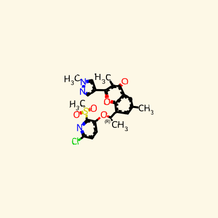 Cc1cc([C@@H](C)Oc2ccc(Cl)nc2S(C)(=O)=O)c2oc(-c3cnn(C)c3)c(C)c(=O)c2c1